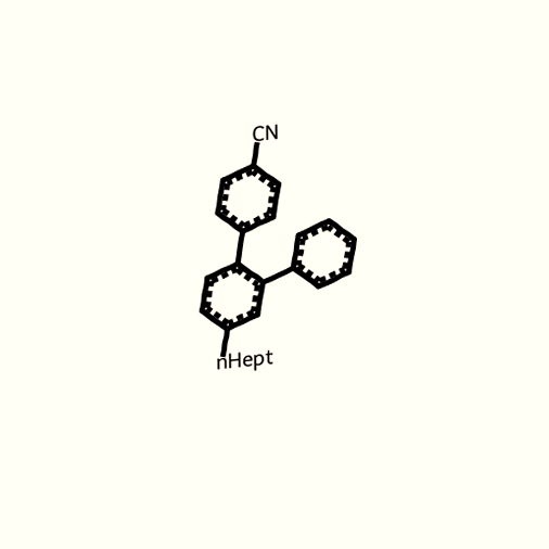 CCCCCCCc1ccc(-c2ccc(C#N)cc2)c(-c2ccccc2)c1